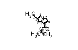 CCc1cc2n(c1)CC=C2C(=O)OC(C)C